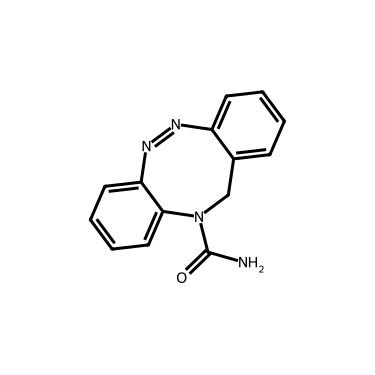 NC(=O)N1Cc2ccccc2/N=N\c2ccccc21